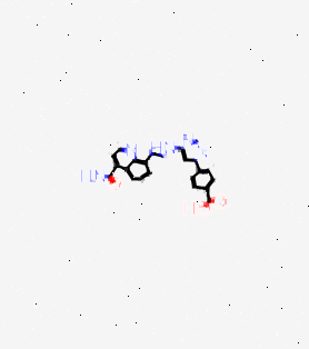 CNC(=O)c1ccnc2c(CCNc3cc(-c4ccc(C(=O)O)cc4)ncn3)cccc12